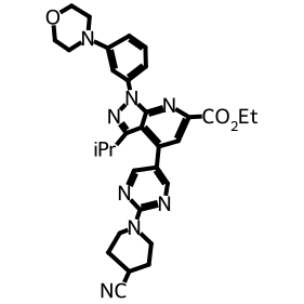 CCOC(=O)c1cc(-c2cnc(N3CCC(C#N)CC3)nc2)c2c(C(C)C)nn(-c3cccc(N4CCOCC4)c3)c2n1